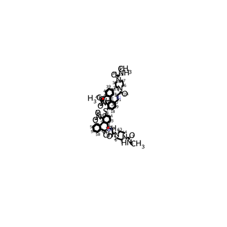 CNC(=O)N1CCN(C(=O)/C=C/c2ccc(Sc3ccc(/C=C/C(=O)N4CCN(C(=O)NC)CC4)c(-c4ccccc4C(C)C)c3[N+](=O)[O-])c([N+](=O)[O-])c2-c2ccccc2C(C)C)CC1